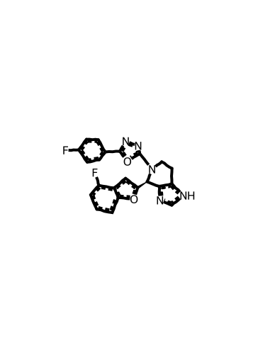 Fc1ccc(-c2nnc(N3CCc4[nH]cnc4[C@H]3c3cc4c(F)cccc4o3)o2)cc1